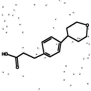 O=C(O)CCc1ccc(C2CCOCC2)cc1